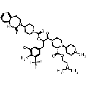 CN(C)CCOC(=O)[C@@H]1CN(C(=O)[C@@H](Cc2cc(Cl)c(N)c(C(F)(F)F)c2)OC(=O)N2CCC(N3CCc4ccccc4NC3=O)CC2)CCN1C1CCN(C)CC1